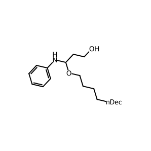 CCCCCCCCCCCCCCOC(CCO)Nc1ccccc1